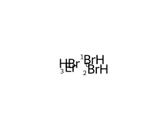 Br.Br.Br.[Er]